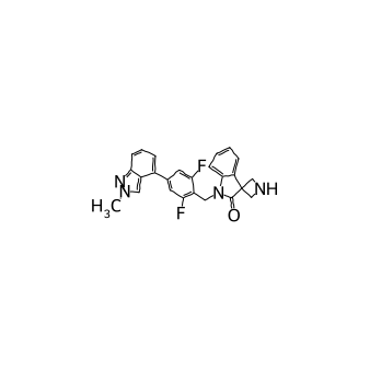 Cn1cc2c(-c3cc(F)c(CN4C(=O)C5(CNC5)c5ccccc54)c(F)c3)cccc2n1